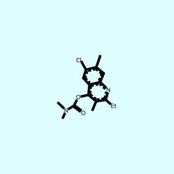 CCc1nc2cc(C)c(Cl)cc2c(OC(=O)N(C)C)c1C